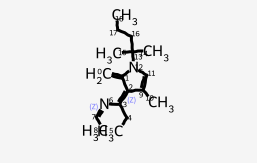 C=c1/c(=C(CC)\N=C/C)c(C)cn1C(C)(C)CCC